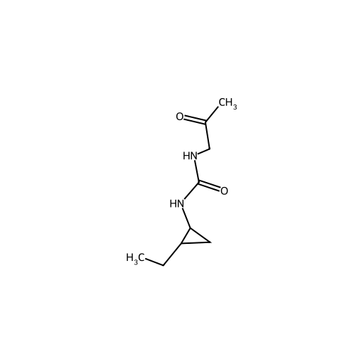 CCC1CC1NC(=O)NCC(C)=O